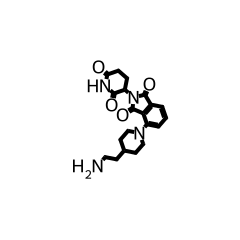 NCCC1CCN(c2cccc3c2C(=O)N(C2CCC(=O)NC2=O)C3=O)CC1